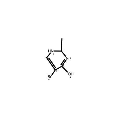 CC1N=C(O)C(Br)=CN1